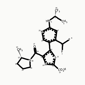 C[C@H](Nc1cc(C(F)F)c(-c2sc(C(=O)O)nc2C(=O)N2CCC[C@@H]2C)cn1)C(F)(F)F